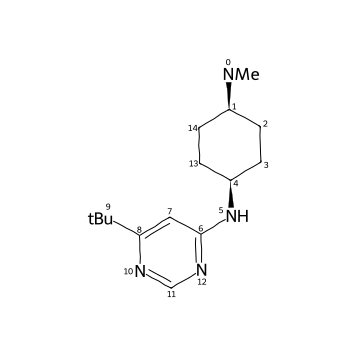 CN[C@H]1CC[C@@H](Nc2cc(C(C)(C)C)ncn2)CC1